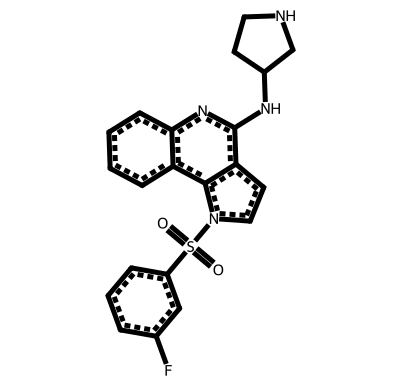 O=S(=O)(c1cccc(F)c1)n1ccc2c(NC3CCNC3)nc3ccccc3c21